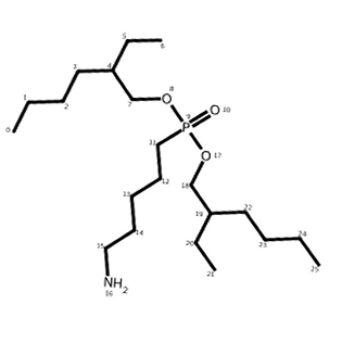 CCCCC(CC)COP(=O)(CCCCCN)OCC(CC)CCCC